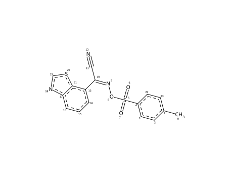 Cc1ccc(S(=O)(=O)O/N=C(/C#N)c2cccc3ncsc23)cc1